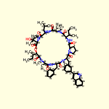 CCC(C)C1NC(=O)C2CCCN2C(=O)C(Cc2cccc(-c3cnc4ccccc4c3)c2)N(C)C(=O)C(Cc2ccccc2)NC(=O)[C@H](C)N(C)C(=O)C([C@H](C)CC)OC(=O)C(C(C)(C)O)N(C)C(=O)C(CC(C)C)NC(=O)[C@H](C)N(C)C1=O